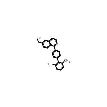 Cc1cccc(C)c1-c1ccc(-c2nccc3cc(CC(C)C)ccc23)cc1